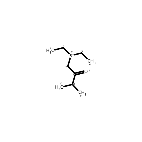 CC[S+](CC)CC(=O)C(C)C